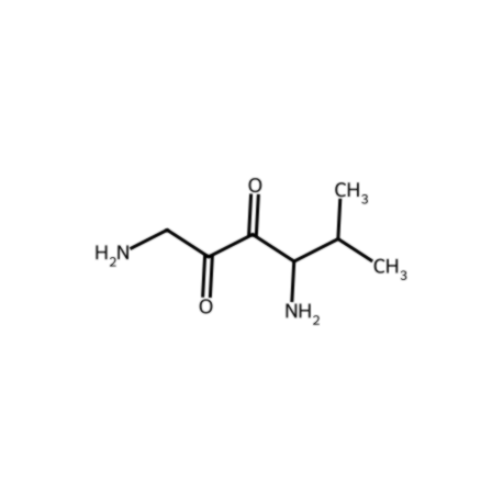 CC(C)C(N)C(=O)C(=O)CN